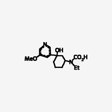 CCN(C(=O)O)C1CCCC(O)(c2cncc(OC)c2)C1